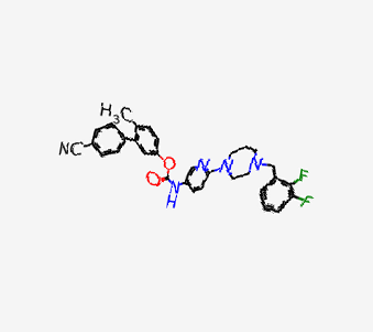 Cc1ccc(OC(=O)Nc2ccc(N3CCCN(Cc4cccc(F)c4F)CC3)nc2)cc1-c1ccc(C#N)cc1